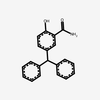 NC(=O)c1cc(C(c2ccccc2)c2ccccc2)ccc1O